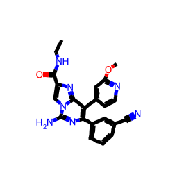 CCNC(=O)c1cn2c(N)nc(-c3cccc(C#N)c3)c(-c3ccnc(OC)c3)c2n1